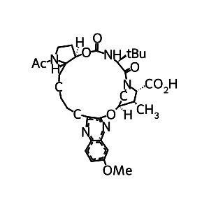 COc1ccc2nc3c(nc2c1)O[C@H]1CN(C(=O)[C@H](C(C)(C)C)NC(=O)O[C@@H]2CCN(C(C)=O)[C@H]2CCCCC3)[C@H](C(=O)O)[C@@H]1C